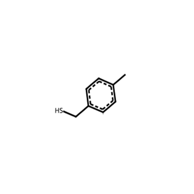 Cc1c[c]c(CS)cc1